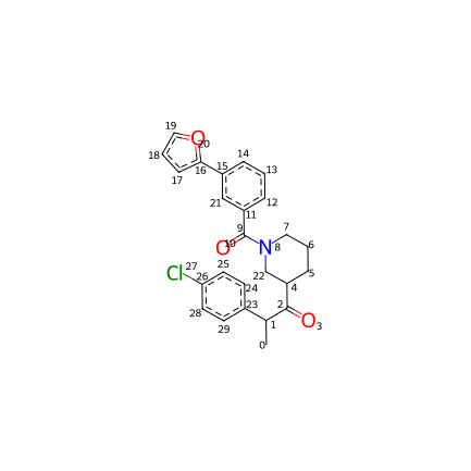 CC(C(=O)C1CCCN(C(=O)c2cccc(-c3ccco3)c2)C1)c1ccc(Cl)cc1